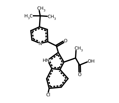 CC(C(=O)O)c1c(C(=O)c2cc(C(C)(C)C)ccn2)[nH]c2cc(Cl)ccc12